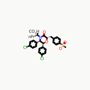 CCC[C@@H](C(=O)O)N1C(=O)[C@H](Cc2ccc(S(C)(=O)=O)cc2)O[C@@H](c2ccc(Cl)cc2)[C@H]1c1ccc(Cl)cc1